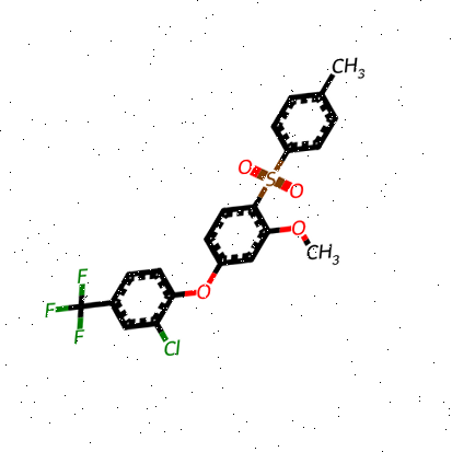 COc1cc(Oc2ccc(C(F)(F)F)cc2Cl)ccc1S(=O)(=O)c1ccc(C)cc1